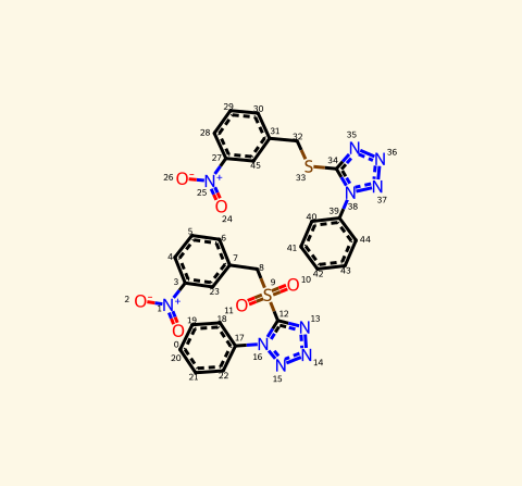 O=[N+]([O-])c1cccc(CS(=O)(=O)c2nnnn2-c2ccccc2)c1.O=[N+]([O-])c1cccc(CSc2nnnn2-c2ccccc2)c1